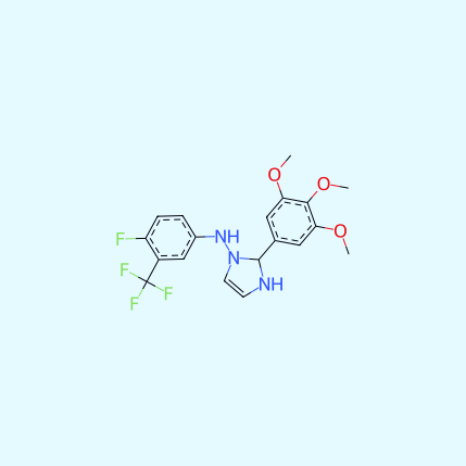 COc1cc(C2NC=CN2Nc2ccc(F)c(C(F)(F)F)c2)cc(OC)c1OC